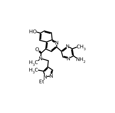 CCn1ncc(CN(C)C(=O)c2cc(-c3cnc(N)c(C)n3)nc3ccc(O)cc23)c1C